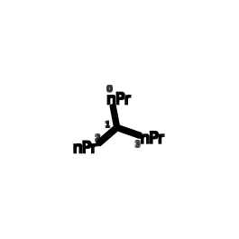 C[CH]CC(CCC)CCC